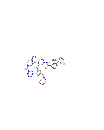 Cc1ccc(NC(=O)c2ccnc(C(C)(C)C)c2)cc1Nc1cc(CN2CCOCC2)nn1-c1cc(NN2CCN(C)CC2)ncn1